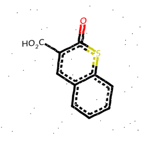 O=C(O)c1cc2ccccc2sc1=O